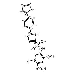 COc1cc(C(=O)O)c(F)cc1NS(=O)(=O)c1csc(-c2ccc(-c3cccs3)cc2)n1